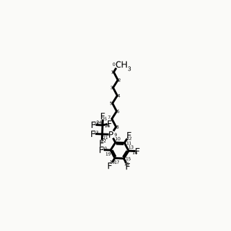 CCCCCCCCCP(c1c(F)c(F)c(F)c(F)c1F)C(F)(F)C(F)(F)F